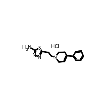 Cl.Nc1nnc(CCN2CC=C(c3ccccc3)CC2)s1